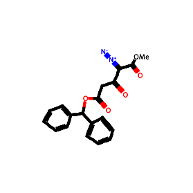 COC(=O)C(=[N+]=[N-])C(=O)CC(=O)OC(c1ccccc1)c1ccccc1